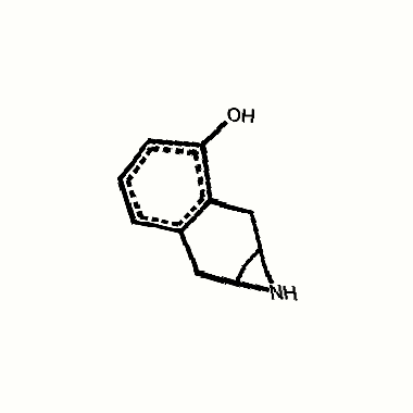 Oc1cccc2c1CC1NC1C2